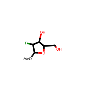 COC1OC(CO)C(O)C1F